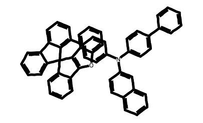 c1ccc(-c2ccc(N(c3ccc(-c4cccc5c4C4(c6ccccc6-5)c5ccccc5-c5oc6ccccc6c54)cc3)c3ccc4ccccc4c3)cc2)cc1